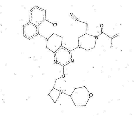 C=C(F)C(=O)N1CCN(c2nc(OCC3CCN3C3CCOCC3)nc3c2CCN(c2cccc4cccc(Cl)c24)C3)C[C@@H]1CC#N